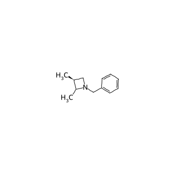 CC1[C@@H](C)CN1Cc1ccccc1